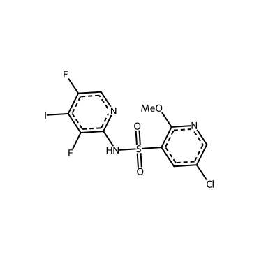 COc1ncc(Cl)cc1S(=O)(=O)Nc1ncc(F)c(I)c1F